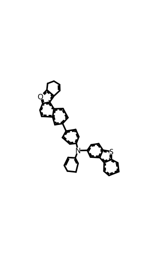 C1=CC(N(c2ccc(-c3ccc4c(ccc5oc6c(c54)C=CCC6)c3)cc2)c2ccc3sc4ccccc4c3c2)=CCC1